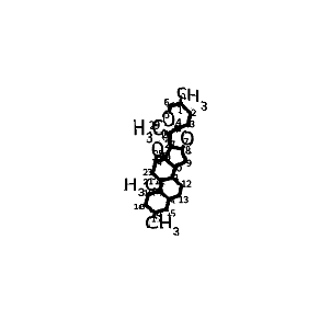 CC1CCC2(OC1)OC1CC3C4CCC5CC(C)CC[C@]5(C)C4CC4O[C@]43C1[C@@H]2C